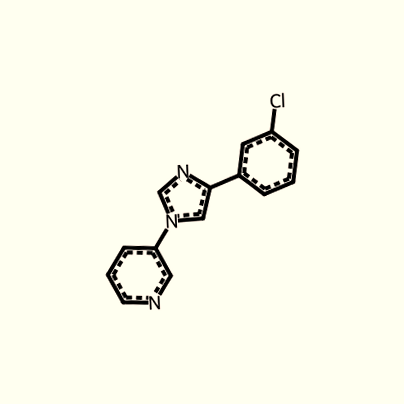 Clc1cccc(-c2cn(-c3cccnc3)cn2)c1